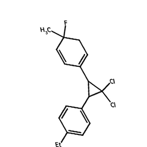 CCc1ccc(C2C(C3=CCC(C)(F)C=C3)C2(Cl)Cl)cc1